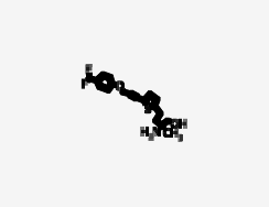 CC(N)(CO)CCc1ccc(C#CCOc2ccc(C(F)F)cc2)s1